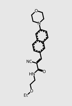 CCOCCNC(=O)/C(C#N)=C/c1ccc2cc(N3CCOCC3)ccc2c1